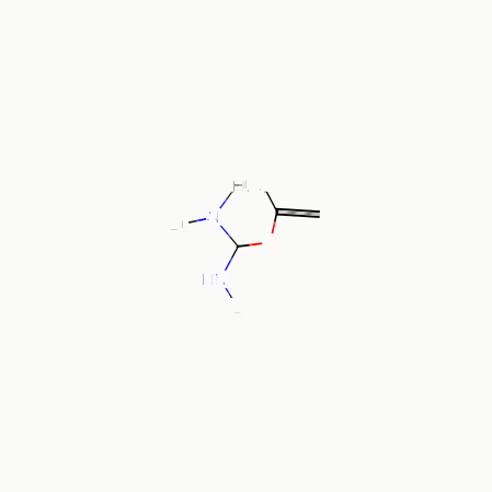 C=C([SiH3])OC(NCC)N(CC)CC